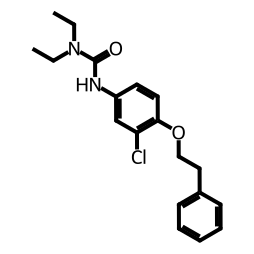 CCN(CC)C(=O)Nc1ccc(OCCc2ccccc2)c(Cl)c1